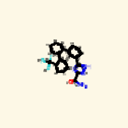 NC(=O)c1n[nH]c(-c2cccc(-c3ccccc3-c3ccccc3C(F)(F)F)c2)n1